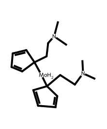 CN(C)CC[C]1([MoH2][C]2(CCN(C)C)C=CC=C2)C=CC=C1